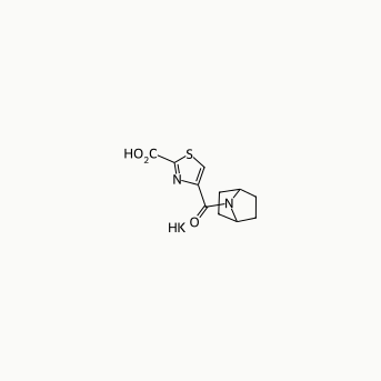 O=C(O)c1nc(C(=O)N2C3CCC2CC3)cs1.[KH]